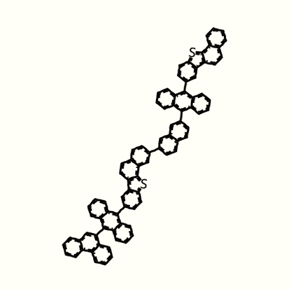 c1ccc2c(c1)cc(-c1c3ccccc3c(-c3ccc4sc5c6cc(-c7ccc8ccc(-c9c%10ccccc%10c(-c%10ccc%11sc%12c%13ccccc%13ccc%12c%11c%10)c%10ccccc9%10)cc8c7)ccc6ccc5c4c3)c3ccccc13)c1ccccc12